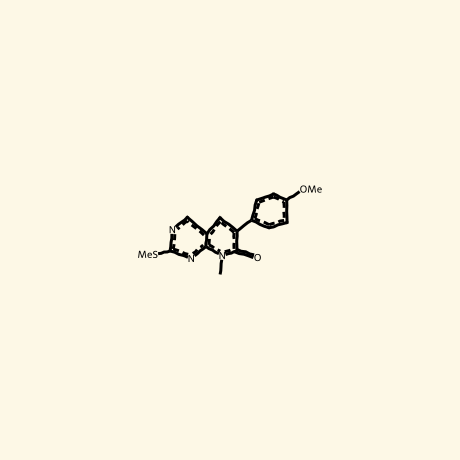 COc1ccc(-c2cc3cnc(SC)nc3n(C)c2=O)cc1